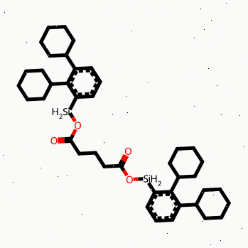 O=C(CCCC(=O)O[SiH2]c1cccc(C2CCCCC2)c1C1CCCCC1)O[SiH2]c1cccc(C2CCCCC2)c1C1CCCCC1